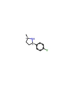 C[C@@H]1CC[C@H](c2ccc(F)cc2)N1